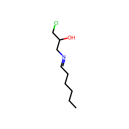 CCCCC/C=N/CC(O)CCl